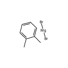 Cc1ccccc1C.[Br][Mg][Br]